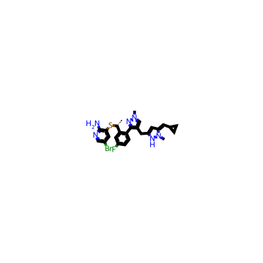 C[C@@H](Sc1cc(Br)cnc1N)c1cc(F)ccc1-c1nn(C)cc1CC1=CC(=CC2CC2)N(C)N1